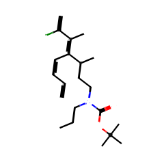 C=C/C=C\C(=C(\C)C(=C)Cl)C(C)CCN(CCC)C(=O)OC(C)(C)C